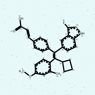 COc1ccc(/C(=C(\c2ccc(/C=C/C(=O)O)cc2)c2ccc3[nH]nc(F)c3c2)C2CCC2)c(C)c1